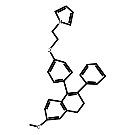 COc1ccc2c(c1)CCC(c1ccccc1)=C2c1ccc(OCCn2cccc2)cc1